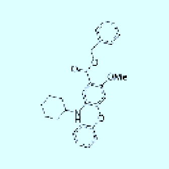 COc1cc(Oc2ccccc2)c(NC2CCCCC2)cc1C(=O)OCc1ccccc1